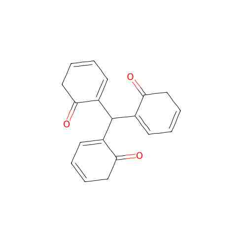 O=C1CC=CC=C1C(C1=CC=CCC1=O)C1=CC=CCC1=O